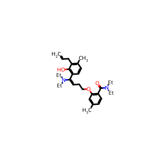 C=CCc1c(C)ccc(/C(=C\CCOc2cc(C)ccc2C(=O)N(CC)CC)N(CC)CC)c1O